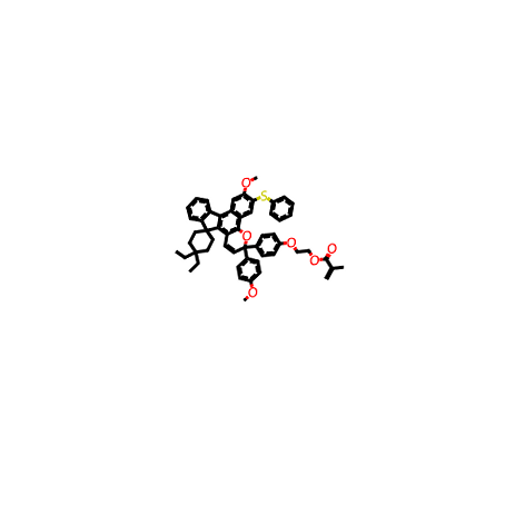 C=C(C)C(=O)OCCOc1ccc(C2(c3ccc(OC)cc3)C=Cc3c4c(c5cc(OC)c(Sc6ccccc6)cc5c3O2)-c2ccccc2C42CCC(CC)(CC)CC2)cc1